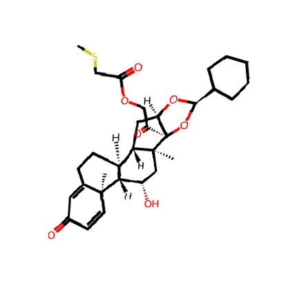 CSCC(=O)OCC(=O)[C@@]12O[C@H](C3CCCCC3)O[C@@H]1C[C@H]1[C@@H]3CCC4=CC(=O)C=C[C@]4(C)[C@H]3[C@@H](O)C[C@@]12C